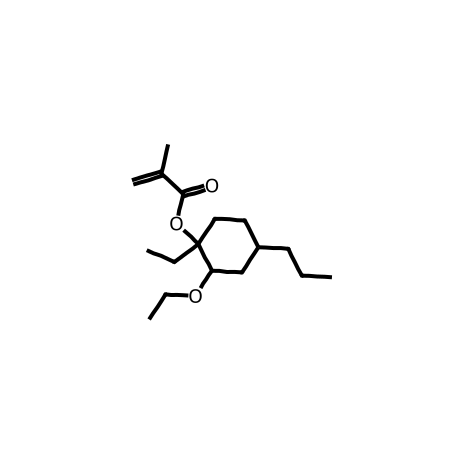 C=C(C)C(=O)OC1(CC)CCC(CCC)CC1OCC